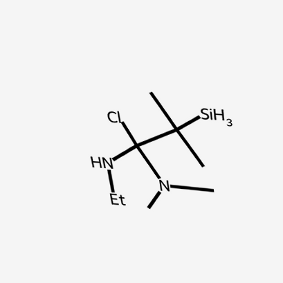 CCNC(Cl)(N(C)C)C(C)(C)[SiH3]